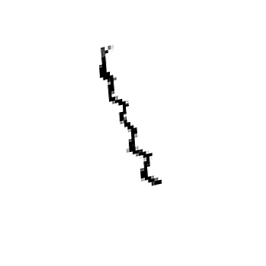 CCCCCCCCC=C[P]